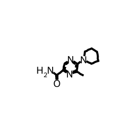 Cc1nc(C(N)=O)cnc1N1CCCCC1